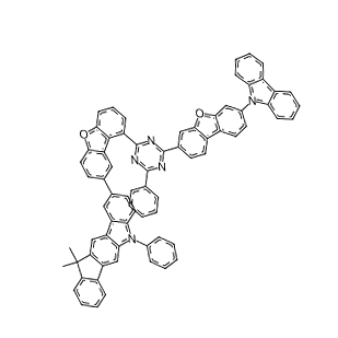 CC1(C)c2ccccc2-c2cc3c(cc21)c1cc(-c2ccc4oc5cccc(-c6nc(-c7ccccc7)nc(-c7ccc8c(c7)oc7cc(-n9c%10ccccc%10c%10ccccc%109)ccc78)n6)c5c4c2)ccc1n3-c1ccccc1